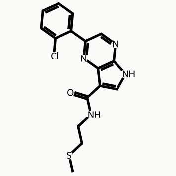 CSCCNC(=O)c1c[nH]c2ncc(-c3ccccc3Cl)nc12